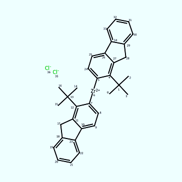 CC(C)(C)c1[c]([Zr+2][c]2ccc3c(c2C(C)(C)C)Cc2ccccc2-3)ccc2c1Cc1ccccc1-2.[Cl-].[Cl-]